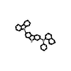 c1ccc(N(c2ccc3c(c2)sc2ccc(-n4c5ccccc5c5ccccc54)cc23)c2cccc3ccccc23)cc1